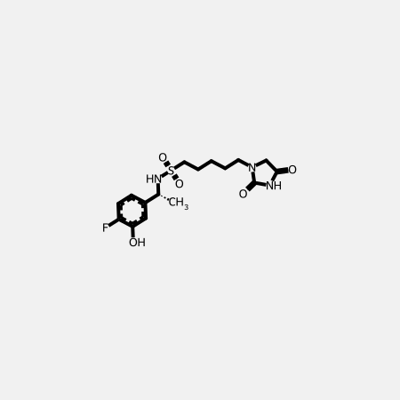 C[C@@H](NS(=O)(=O)CCCCCN1CC(=O)NC1=O)c1ccc(F)c(O)c1